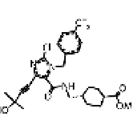 COC(=O)[C@H]1CC[C@H](CNC(=O)c2c(C#CC(C)(C)O)nc(Cl)n2Cc2ccc(C(F)(F)F)cc2)CC1